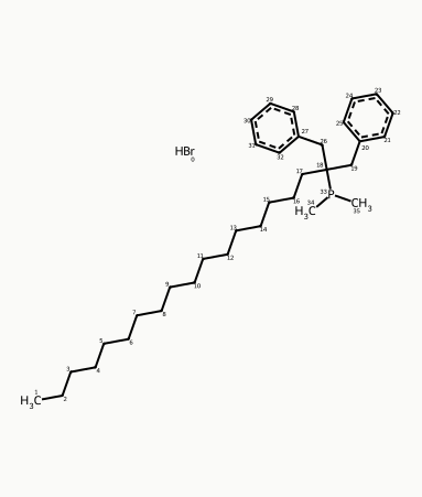 Br.CCCCCCCCCCCCCCCCCC(Cc1ccccc1)(Cc1ccccc1)P(C)C